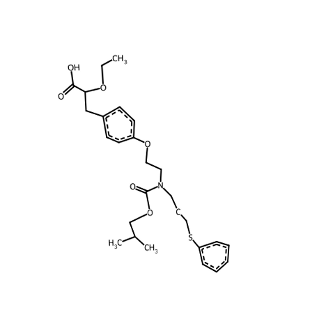 CCOC(Cc1ccc(OCCN(CCCSc2ccccc2)C(=O)OCC(C)C)cc1)C(=O)O